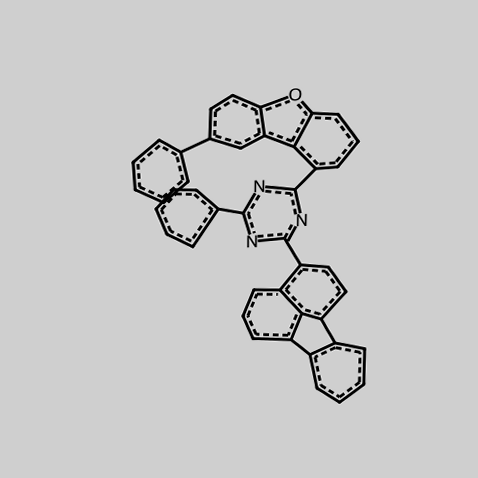 c1ccc(-c2ccc3oc4cccc(-c5nc(-c6ccccc6)nc(-c6ccc7c8c(cccc68)-c6ccccc6-7)n5)c4c3c2)cc1